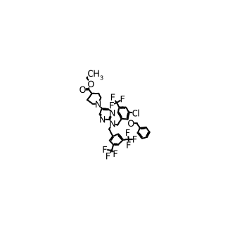 CCOC(=O)C1CCN(c2cnc(N(Cc3cc(C(F)(F)F)cc(C(F)(F)F)c3)Cc3cc(C(F)(F)F)cc(Cl)c3OCc3ccccc3)nc2)CC1